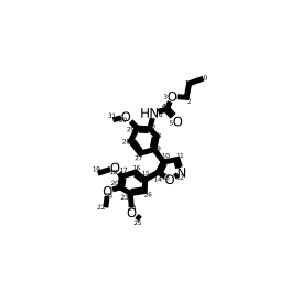 CCCOC(=O)Nc1cc(-c2cnoc2-c2cc(OC)c(OC)c(OC)c2)ccc1OC